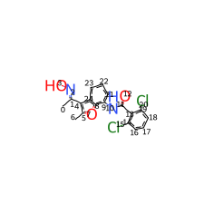 CC(=NO)c1c(C)oc2c(NC(=O)c3c(Cl)cccc3Cl)cccc12